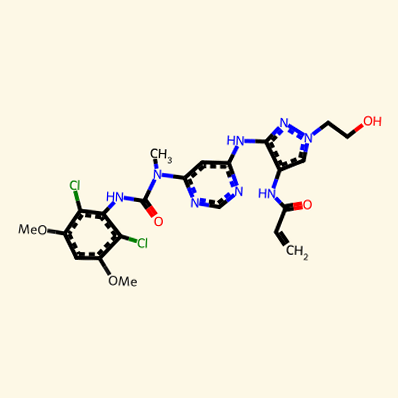 C=CC(=O)Nc1cn(CCO)nc1Nc1cc(N(C)C(=O)Nc2c(Cl)c(OC)cc(OC)c2Cl)ncn1